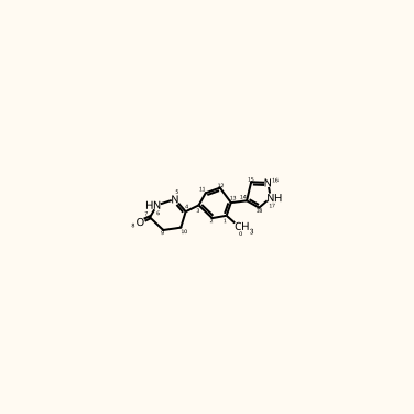 Cc1cc(C2=NNC(=O)CC2)ccc1-c1cn[nH]c1